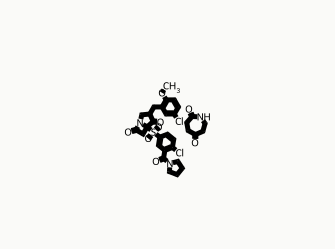 COc1ccc(Cl)cc1CC1CN2C(=O)CC2(S(=O)(=O)c2ccc(Cl)c(C(=O)N3CCCC3)c2)C1=O.O=C1CCNC(=O)CC1